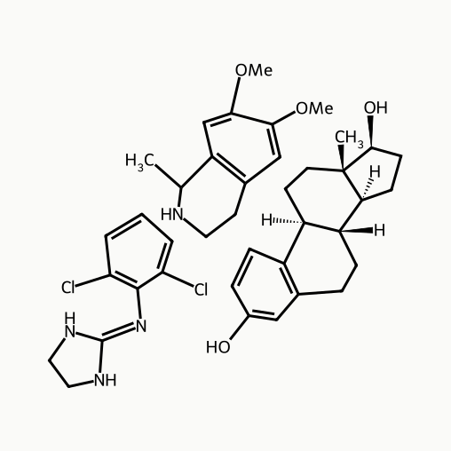 COc1cc2c(cc1OC)C(C)NCC2.C[C@]12CC[C@@H]3c4ccc(O)cc4CC[C@H]3[C@@H]1CC[C@@H]2O.Clc1cccc(Cl)c1N=C1NCCN1